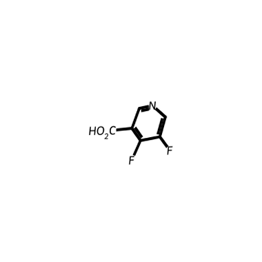 O=C(O)c1cncc(F)c1F